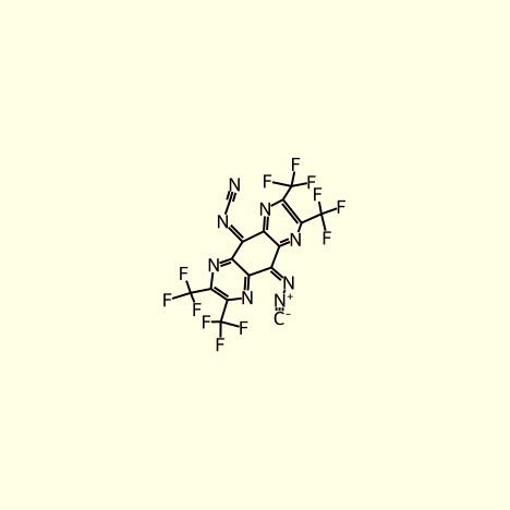 [C-]#[N+]N=C1c2nc(C(F)(F)F)c(C(F)(F)F)nc2C(=NC#N)c2nc(C(F)(F)F)c(C(F)(F)F)nc21